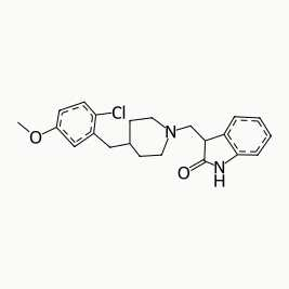 COc1ccc(Cl)c(CC2CCN(CC3C(=O)Nc4ccccc43)CC2)c1